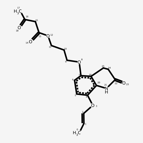 CC=COc1ccc(OCCCOC(=O)CC(C)=O)c2c1NC(=O)CC2